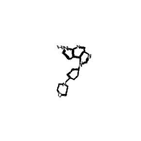 c1cc2c(ncc3ncn(C4CCC(N5CCOCC5)CC4)c32)[nH]1